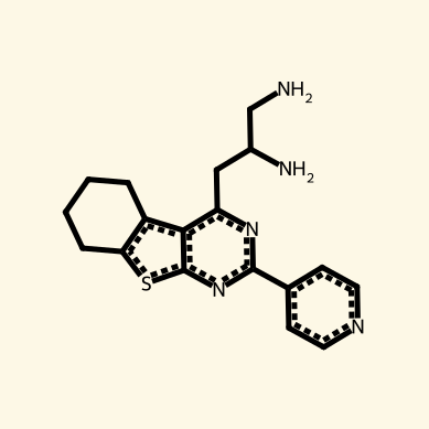 NCC(N)Cc1nc(-c2ccncc2)nc2sc3c(c12)CCCC3